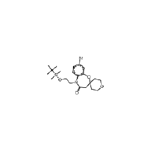 CC(C)(C)[Si](C)(C)OCCN1C(=O)CC2(CCOCC2)Oc2cc(Br)ccc21